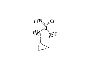 CCS(=N)(=O)NC1CC1